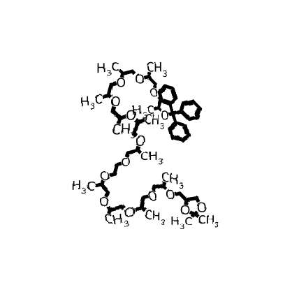 CC(COCC(C)OCC1COC(C)(C)O1)OCC(C)OCC(C)OCCOCC(C)OCC(C)OC(C)COC(C)COC(C)COC(C)COCC(C)OC(c1ccccc1)(c1ccccc1)c1ccccc1